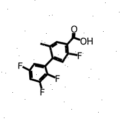 Cc1cc(C(=O)O)c(F)cc1-c1cc(F)cc(F)c1F